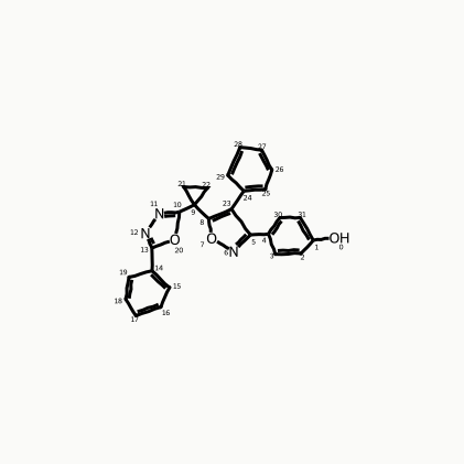 Oc1ccc(-c2noc(C3(c4nnc(-c5ccccc5)o4)CC3)c2-c2ccccc2)cc1